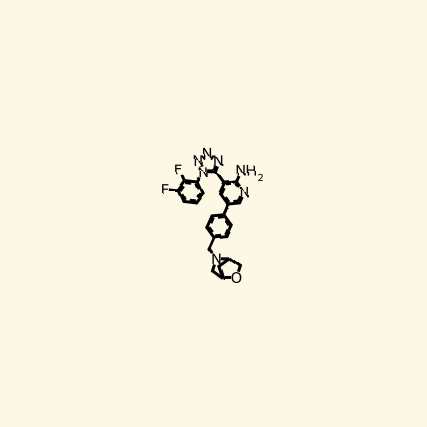 Nc1ncc(-c2ccc(CN3CC4CC3CO4)cc2)cc1-c1nnnn1-c1cccc(F)c1F